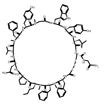 CCCC[C@H]1C(=O)N2CCC[C@@H]2C(=O)N[C@@H](CC(O)=P)C(=O)N[C@@H](C(C)C)C(=O)N(C)[C@@H](Cc2ccccc2)C(=O)N[C@@H](Cc2ccc(O)cc2)C(=O)N(C)CC(=O)N[C@@H](Cc2c[nH]c3ccccc23)C(=O)N[C@@H](Cc2ccc(O)cc2)C(=O)N[C@@H](CC(C)C)C(=O)N[C@H](C(=O)NCC(N)=O)CSCC(=O)N[C@@H](Cc2ccccc2)C(=O)N(C)[C@@H](Cc2ccccc2)C(=O)N1C